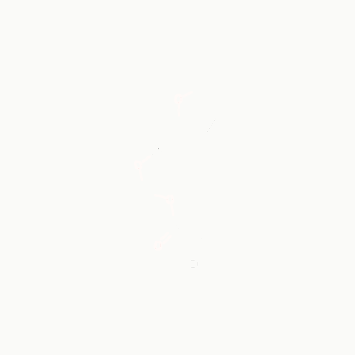 CCC(C)(C)C(=O)OC(C)OC(C)(C)C1CCCO1